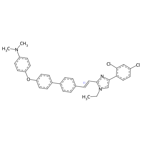 CCn1cc(-c2ccc(Cl)cc2Cl)nc1/C=C/c1ccc(-c2ccc(Oc3ccc(N(C)C)cc3)cc2)cc1